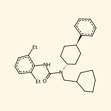 CCc1cccc(CC)c1NC(=O)N(CC1CCCCC1)[C@H]1CC[C@H](c2ccccc2)CC1